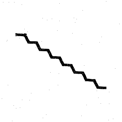 [C]OCCCCCCCCCCCCCC